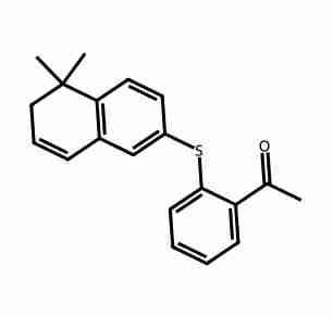 CC(=O)c1ccccc1Sc1ccc2c(c1)C=CCC2(C)C